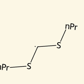 CCCS[CH]SCCC